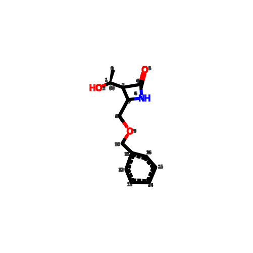 C[C@H](O)C1C(=O)NC1COCc1ccccc1